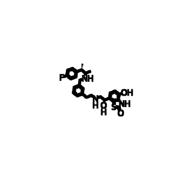 CC(NCc1cccc(CCNC[C@H](O)c2ccc(O)c3[nH]c(=O)sc23)c1)[C@@H](C)c1ccc(F)cc1